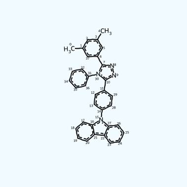 Cc1cc(C)cc(-c2nnc(-c3ccc(-n4c5ccccc5c5ccccc54)cc3)n2-c2ccccc2)c1